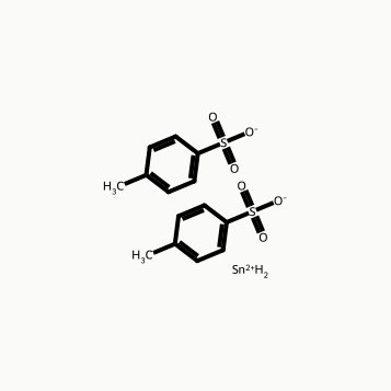 Cc1ccc(S(=O)(=O)[O-])cc1.Cc1ccc(S(=O)(=O)[O-])cc1.[SnH2+2]